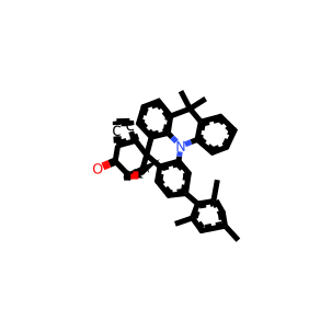 Cc1cc(C)c(-c2ccc3c(c2)N2c4ccccc4C(C)(C)c4cccc(c42)C32c3ccccc3C(=O)c3ccccc32)c(C)c1